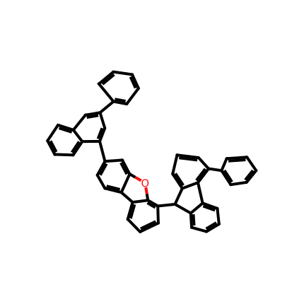 c1ccc(-c2cc(-c3ccc4c(c3)oc3c(C5c6ccccc6-c6c(-c7ccccc7)cccc65)cccc34)c3ccccc3c2)cc1